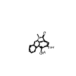 CN1C(=O)c2cc(O)c(O)c3c2c1cc1ccccc13